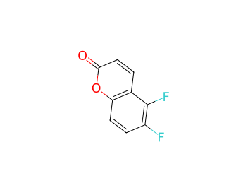 O=c1ccc2c(F)c(F)ccc2o1